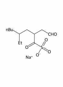 CCCCC(CC)CC(CC=O)C(=O)S(=O)(=O)[O-].[Na+]